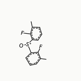 Cc1cccc([S+]([O-])c2cccc(C)c2F)c1F